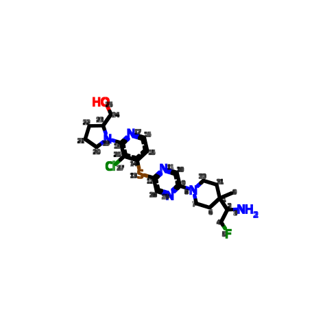 CC1(C(N)CF)CCN(c2cnc(Sc3ccnc(N4CCCC4CO)c3Cl)cn2)CC1